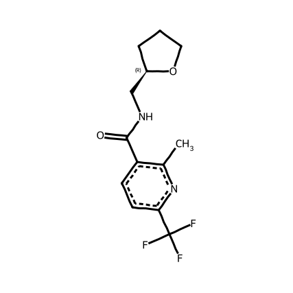 Cc1nc(C(F)(F)F)ccc1C(=O)NC[C@H]1CCCO1